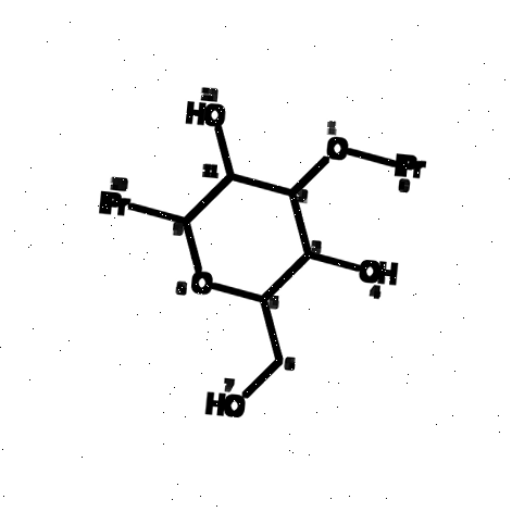 CC(C)OC1C(O)C(CO)OC(C(C)C)C1O